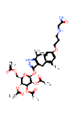 CC(=O)OC[C@H]1O[C@@H](Oc2n[nH]c(C(C)C)c2Cc2ccc(OCCCNCC(N)=O)cc2C)[C@H](OC(C)=O)[C@@H](OC(C)=O)[C@@H]1OC(C)=O